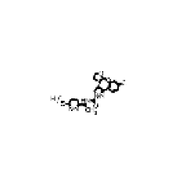 COc1ccc(C(C)NC(=O)N2C[C@@H](N3CCOC3=O)C(c3ccc(Cl)cc3)=N2)nn1